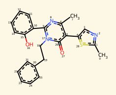 Cc1ncc(-c2c(C)nc(-c3ccccc3O)n(CCc3ccccc3)c2=O)s1